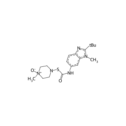 Cn1c(C(C)(C)C)nc2ccc(NC(=O)SN3CC[N+](C)([O-])CC3)cc21